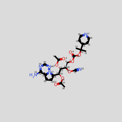 CC(=O)O[C@H]([C@@H](COC(=O)OC(C)(C)c1ccncc1)OC#N)[C@@H](OC(C)=O)c1ccc2c(N)ncnn12